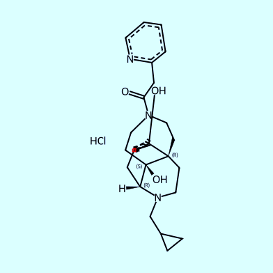 Cl.O=C(Cc1ccccn1)N1CC[C@]23CCN(CC4CC4)[C@H](Cc4ccc(O)cc42)[C@]3(O)CC1